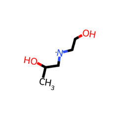 CC(O)C[N]CCO